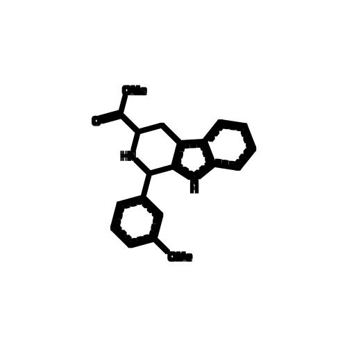 COC(=O)C1Cc2c([nH]c3ccccc23)C(c2cccc(OC)c2)N1